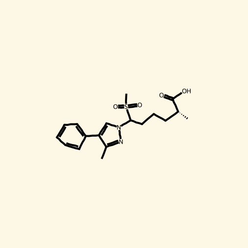 Cc1nn(C(CCC[C@@H](C)C(=O)O)S(C)(=O)=O)cc1-c1ccccc1